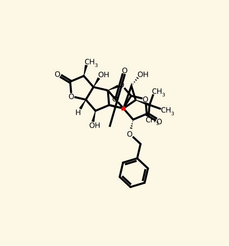 C[C@@H]1C(=O)O[C@H]2[C@H](O)C34C5OC(=O)[C@@]3(OC3OC(=O)[C@H](OCc6ccccc6)C34[C@H](C(C)(C)C)[C@H]5O)[C@@]12O